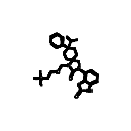 CN(C)C1(c2ccccc2)CCC2(CC1)CN(c1cccc3[nH]c(=O)oc13)C(=O)N2COCC[Si](C)(C)C